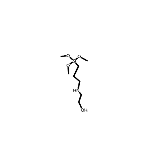 CO[Si](CCCNCCO)(OC)OC